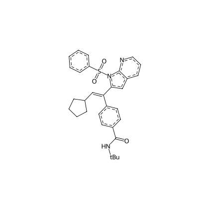 CC(C)(C)NC(=O)c1ccc(C(=CC2CCCC2)c2cc3cccnc3n2S(=O)(=O)c2ccccc2)cc1